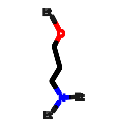 CCOCCCN(CC)CC